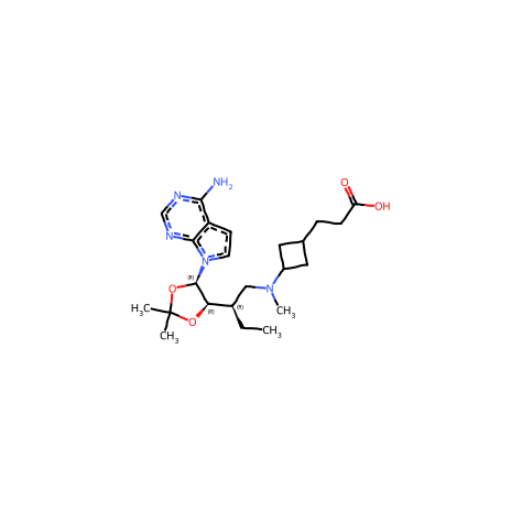 CC[C@H](CN(C)C1CC(CCC(=O)O)C1)[C@H]1OC(C)(C)O[C@H]1n1ccc2c(N)ncnc21